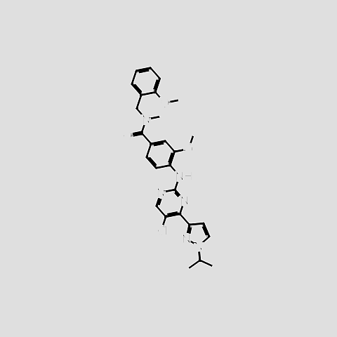 COc1ccccc1CN(C)C(=O)c1ccc(Nc2ncc(Cl)c(-c3ccn(C(C)C)n3)n2)c(OC)c1